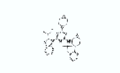 CN1CCC(c2ccccc2CC(C)(C)Nc2nc(N3CCOCC3)nc(-n3c(C(F)F)nc4ccccc43)n2)CC1